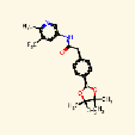 Cc1ncc(NC(=O)Cc2ccc(B3OC(C)(C)C(C)(C)O3)cc2)cc1C(F)(F)F